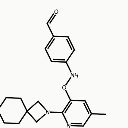 Cc1cnc(N2CC3(CCOCC3)C2)c(ONc2ccc(C=O)cc2)c1